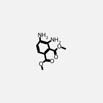 COC(=O)c1ccc(N)c(N)c1C(=O)OC